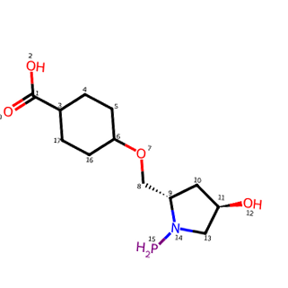 O=C(O)C1CCC(OC[C@@H]2C[C@@H](O)CN2P)CC1